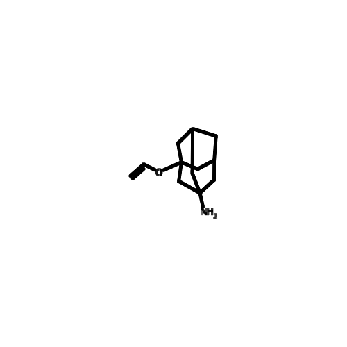 C=COC12CC3CC(CC(N)(C3)C1)C2